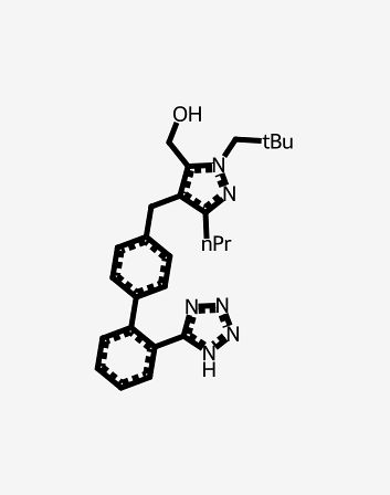 CCCc1nn(CC(C)(C)C)c(CO)c1Cc1ccc(-c2ccccc2-c2nnn[nH]2)cc1